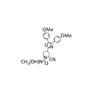 COc1ccc(-c2nc(C3CCN(C(=O)N(C)O)C(C#N)C3)oc2-c2ccc(OC)cc2)cc1